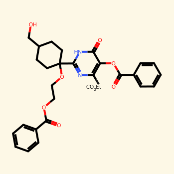 CCOC(=O)c1nc(C2(OCCOC(=O)c3ccccc3)CCC(CO)CC2)[nH]c(=O)c1OC(=O)c1ccccc1